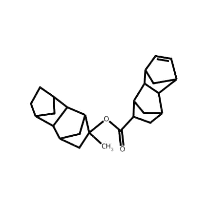 CC1(OC(=O)C2CC3CC2C2C4C=CC(C4)C32)CC2CC1C1C3CCC(C3)C21